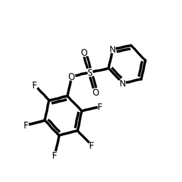 O=S(=O)(Oc1c(F)c(F)c(F)c(F)c1F)c1ncccn1